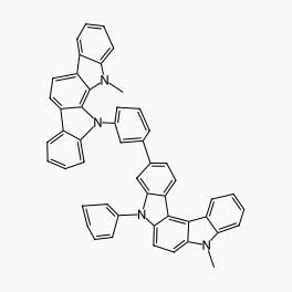 Cn1c2ccccc2c2c3c4ccc(-c5cccc(-n6c7ccccc7c7ccc8c9ccccc9n(C)c8c76)c5)cc4n(-c4ccccc4)c3ccc21